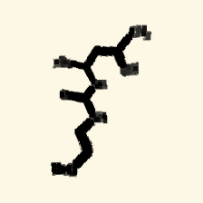 CCCCC(CC(C)O)NC(=O)NCCOC